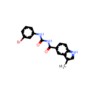 Cc1c[nH]c2ccc(C(=O)NC(=O)Nc3cccc(Br)c3)cc12